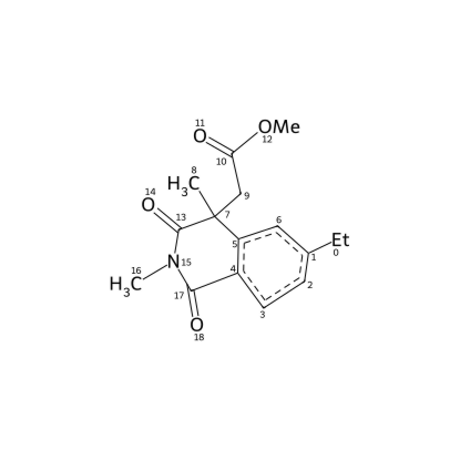 CCc1ccc2c(c1)C(C)(CC(=O)OC)C(=O)N(C)C2=O